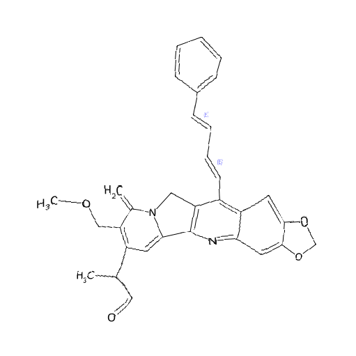 C=C1C(COC)=C(C(C)C=O)C=C2c3nc4cc5c(cc4c(/C=C/C=C/c4ccccc4)c3CN12)OCO5